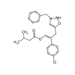 CC(C)CC(=O)OC=C(CC1=CN(Cc2ccccc2)NO1)c1ccc(Cl)cc1